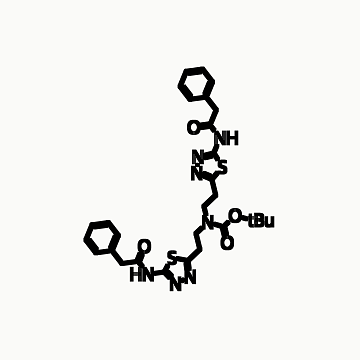 CC(C)(C)OC(=O)N(CCc1nnc(NC(=O)Cc2ccccc2)s1)CCc1nnc(NC(=O)Cc2ccccc2)s1